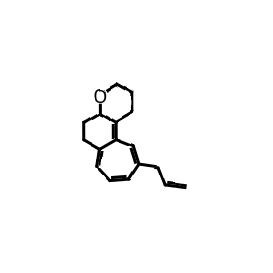 C=CCC1=CC2=C3CCCOC3CCC2=CC=C1